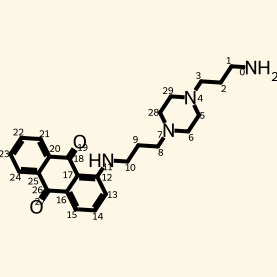 NCCCN1CCN(CCCNc2cccc3c2C(=O)c2ccccc2C3=O)CC1